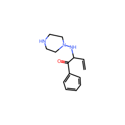 C=CC(NN1CCNCC1)C(=O)c1ccccc1